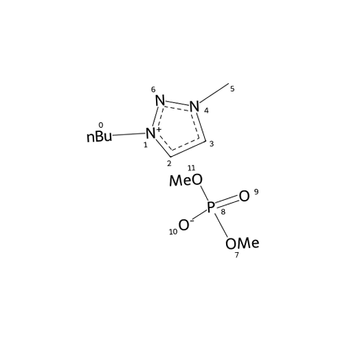 CCCC[n+]1ccn(C)n1.COP(=O)([O-])OC